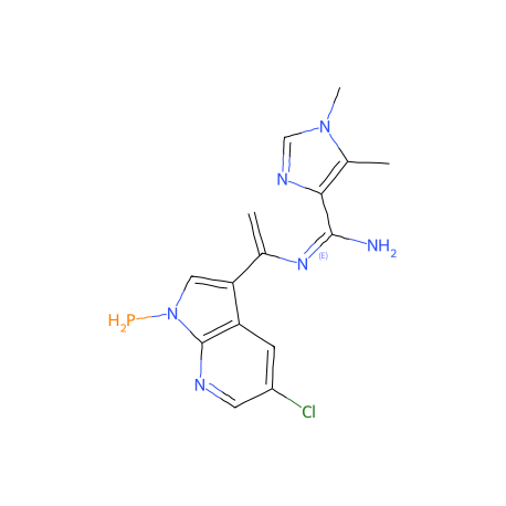 C=C(/N=C(/N)c1ncn(C)c1C)c1cn(P)c2ncc(Cl)cc12